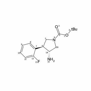 CC(C)(C)OC(=O)N1C[C@H](c2ccccc2F)[C@@H](N)C1